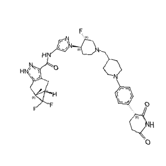 C[C@@]12Cc3[nH]nc(C(=O)Nc4cnn([C@@H]5CCN(CC6CCN(c7ccc([C@H]8CCC(=O)NC8=O)cc7)CC6)C[C@H]5F)c4)c3C[C@@H]1C2(F)F